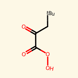 CC(C)(C)CC(=O)C(=O)OO